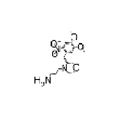 COc1cc(C=C2COCCN2CCCN)c([N+](=O)[O-])cc1OC